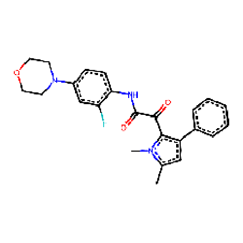 Cc1cc(-c2ccccc2)c(C(=O)C(=O)Nc2ccc(N3CCOCC3)cc2F)n1C